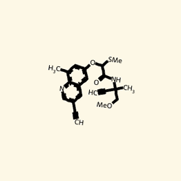 C#Cc1cnc2c(C)cc(OC(SC)C(=O)NC(C)(C#C)COC)cc2c1